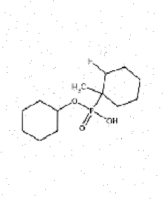 CC1(P(=O)(O)OC2CCCCC2)CCCCC1F